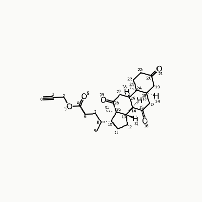 C#CCOC(=O)CCC(C)[C@H]1CC[C@H]2[C@@H]3C(=O)C[C@@H]4CC(=O)CC[C@]4(C)[C@H]3CC(=O)[C@]12C